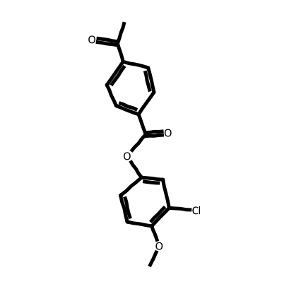 COc1ccc(OC(=O)c2ccc(C(C)=O)cc2)cc1Cl